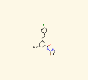 CC(C)COc1cc(C=Cc2ccc(F)cc2)cc(C(=O)Nc2nccs2)c1